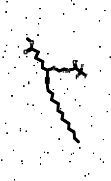 CCCCCCCCCCCCC#CC(CCCCC(=O)OC)SCCNC(=O)C(F)(F)F